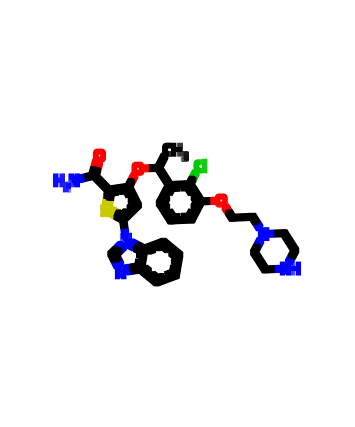 CC(Oc1cc(-n2cnc3ccccc32)sc1C(N)=O)c1cccc(OCCN2CCNCC2)c1Cl